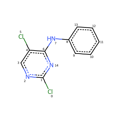 Clc1ncc(Cl)c(Nc2ccccc2)n1